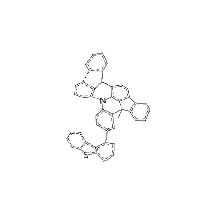 CC12c3ccccc3-c3cccc(c31)N1c3ccc(-c4cccc5sc6ccccc6c45)cc3C3(C)c4ccccc4-c4ccc2c1c43